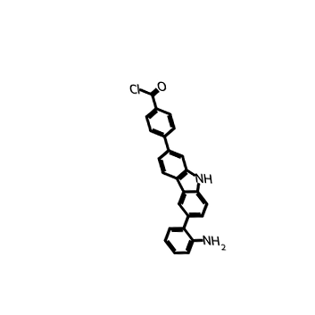 Nc1ccccc1-c1ccc2[nH]c3cc(-c4ccc(C(=O)Cl)cc4)ccc3c2c1